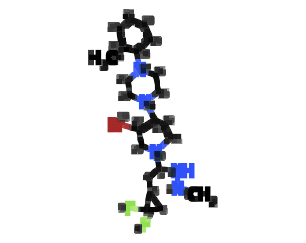 C=NNC(CC1CC1(F)F)N1C=CC(N2CCN(c3ccccc3C)CC2)=C(Br)C1